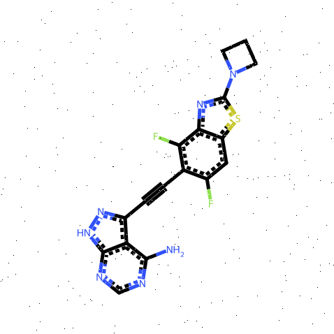 Nc1ncnc2[nH]nc(C#Cc3c(F)cc4sc(N5CCC5)nc4c3F)c12